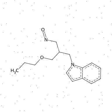 CCCOCC(CN=O)Cn1ccc2ccccc21